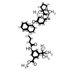 COC(=O)c1cc(NC(=O)CCC[C@H]2CC[C@@H](Oc3ccc4nnc([C@]5(C)CCCN5C)n4c3)c3ccccc32)cc(C(C)(C)C)c1